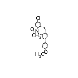 COc1ccc(-c2ccc3c(c2)CN(C(C)=O)c2ccc(Cl)cc2C=C3)cc1